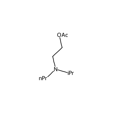 CCCN(CCOC(C)=O)C(C)C